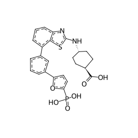 O=C(O)[C@H]1CC[C@H](Nc2nc3cccc(-c4cccc(-c5ccc(P(=O)(O)O)o5)c4)c3s2)CC1